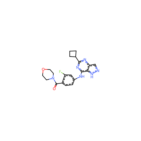 O=C(c1ccc(Nc2nc(C3CCC3)nc3cn[nH]c23)cc1F)N1CCOCC1